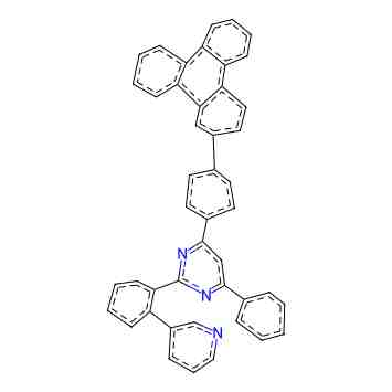 c1ccc(-c2cc(-c3ccc(-c4ccc5c6ccccc6c6ccccc6c5c4)cc3)nc(-c3ccccc3-c3cccnc3)n2)cc1